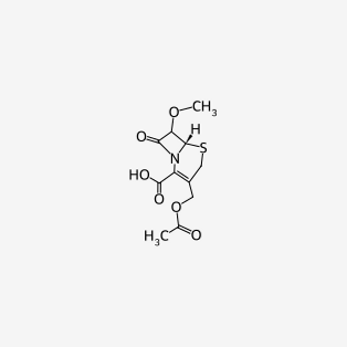 COC1C(=O)N2C(C(=O)O)=C(COC(C)=O)CS[C@@H]12